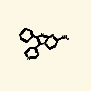 Nc1ccn2c(-c3ccncn3)c(-c3ccccc3)nc2n1